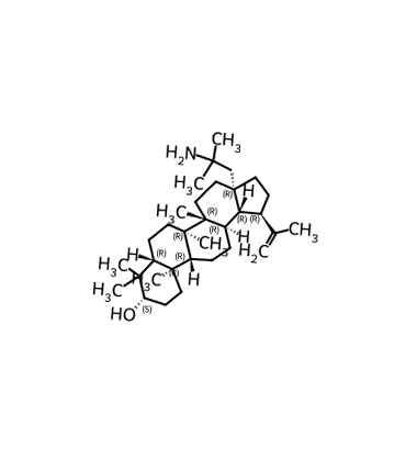 C=C(C)[C@@H]1CC[C@]2(CC(C)(C)N)CC[C@]3(C)[C@H](CC[C@@H]4[C@@]5(C)CC[C@H](O)C(C)(C)[C@@H]5CC[C@]43C)[C@@H]12